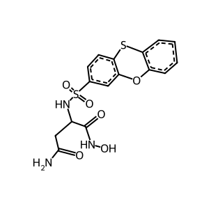 NC(=O)CC(NS(=O)(=O)c1ccc2c(c1)Oc1ccccc1S2)C(=O)NO